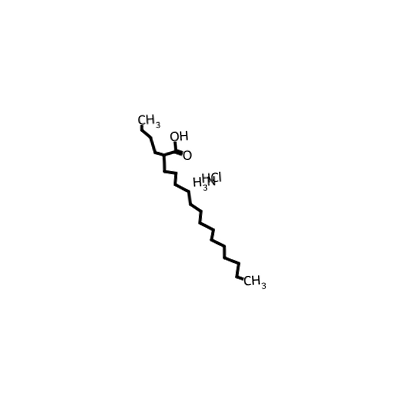 CCCCCCCCCCCCCCC(CCCC)C(=O)O.Cl.N